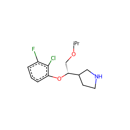 CC(C)OC[C@@H](Oc1cccc(F)c1Cl)C1CCNC1